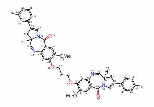 COc1cc2c(cc1OCCCOc1cc3c(cc1OC)C(=O)N1C=C(c4cccc(C)c4)C[C@H]1C=N3)N=C[C@@H]1CC(c3ccc(C)cc3)=CN1C2=O